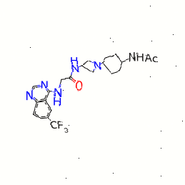 CC(=O)NC1CCC(N2CC(NC(=O)CNc3ncnc4ccc(C(F)(F)F)cc34)C2)CC1